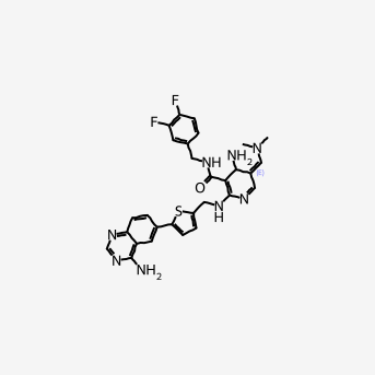 CN(C)/C=C1/C=NC(NCc2ccc(-c3ccc4ncnc(N)c4c3)s2)=C(C(=O)NCc2ccc(F)c(F)c2)C1N